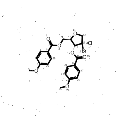 COc1ccc(C(=O)OC[C@H]2OC[C@@](Cl)(Br)[C@@H]2OC(=O)c2ccc(OC)cc2)cc1